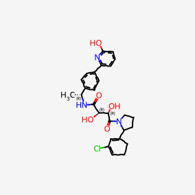 C[C@@H](NC(=O)[C@H](O)[C@@H](O)C(=O)N1CCCC1C1=CC(Cl)=CCC1)c1ccc(-c2cccc(O)n2)cc1